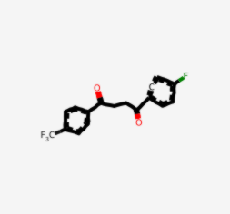 O=C(CCC(=O)c1ccc(C(F)(F)F)cc1)c1ccc(F)cc1